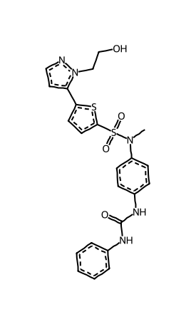 CN(c1ccc(NC(=O)Nc2ccccc2)cc1)S(=O)(=O)c1ccc(-c2ccnn2CCO)s1